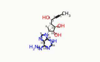 CC#C[C@@H](O)[C@H]1C[C@@H](n2cnc3/c(=N\N)nc[nH]c32)[C@H](O)[C@@H]1O